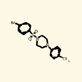 O=S(=O)(c1ccc(Br)cc1)N1CCN(c2ccc(C(F)(F)F)cc2)CC1